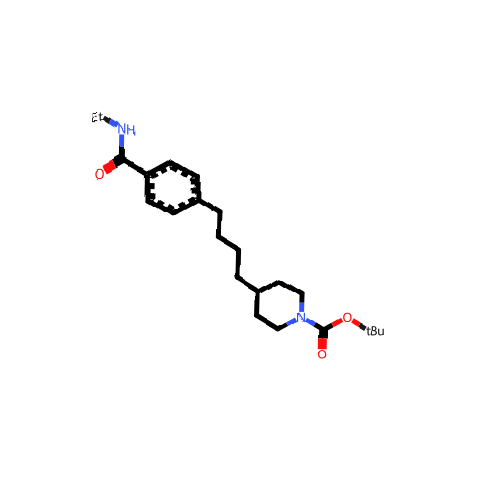 CCNC(=O)c1ccc(CCCCC2CCN(C(=O)OC(C)(C)C)CC2)cc1